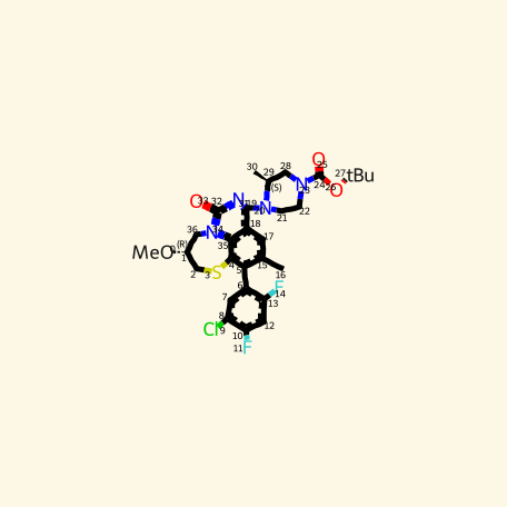 CO[C@H]1CSc2c(-c3cc(Cl)c(F)cc3F)c(C)cc3c(N4CCN(C(=O)OC(C)(C)C)C[C@@H]4C)nc(=O)n(c23)C1